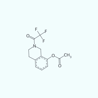 CC(=O)Oc1cccc2c1CN(C(=O)C(F)(F)F)CC2